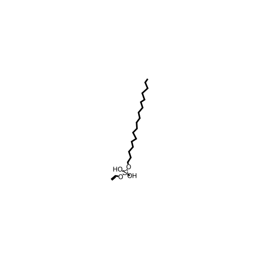 C=CO[Si](O)(O)OCCCCCCCCCCCCCCCCCC